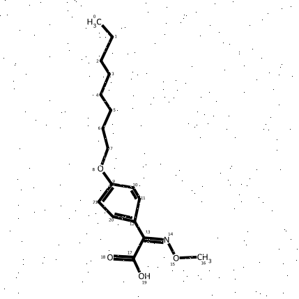 CCCCCCCCOc1ccc(/C(=N/OC)C(=O)O)cc1